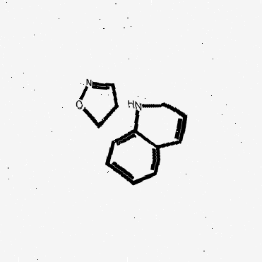 C1=Cc2ccccc2NC1.C1=NOCC1